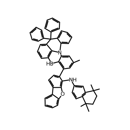 Cc1cc(-c2ccc3c(oc4ccccc43)c2Nc2ccc3c(c2)C(C)(C)CCC3(C)C)c2c(c1)N1c3ccccc3C(c3ccccc3)(c3ccccc3)c3cccc(c31)B2